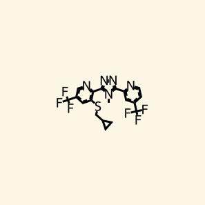 Cn1c(-c2cc(C(F)(F)F)ccn2)nnc1-c1ncc(C(F)(F)F)cc1SCC1CC1